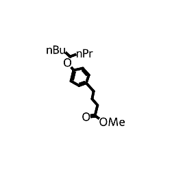 CCCCC(CCC)Oc1ccc(CCCC(=O)OC)cc1